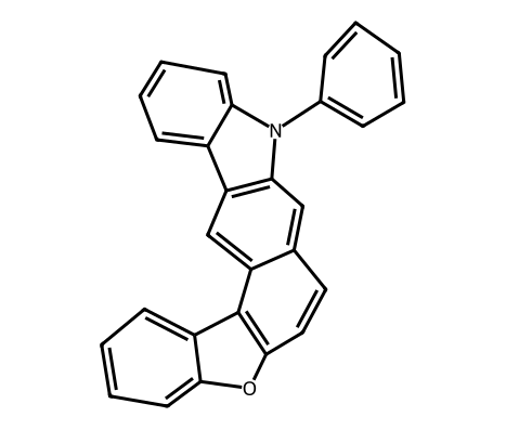 c1ccc(-n2c3ccccc3c3cc4c(ccc5oc6ccccc6c54)cc32)cc1